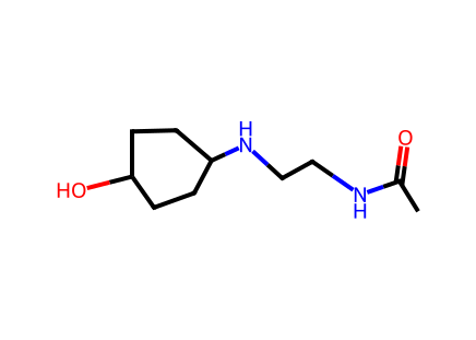 CC(=O)NCCNC1CCC(O)CC1